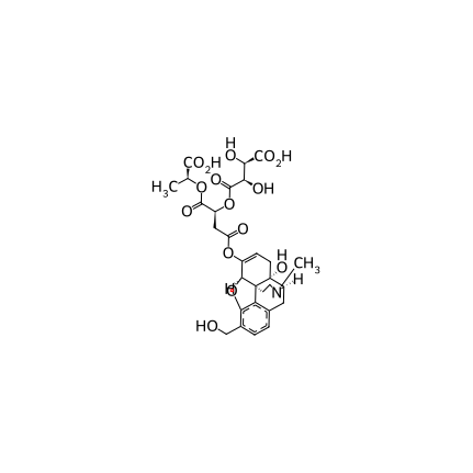 C[C@H](OC(=O)[C@H](CC(=O)OC1=CC[C@@]2(O)[C@H]3Cc4ccc(CO)c5c4[C@@]2(CCN3C)[C@H]1O5)OC(=O)[C@H](O)[C@@H](O)C(=O)O)C(=O)O